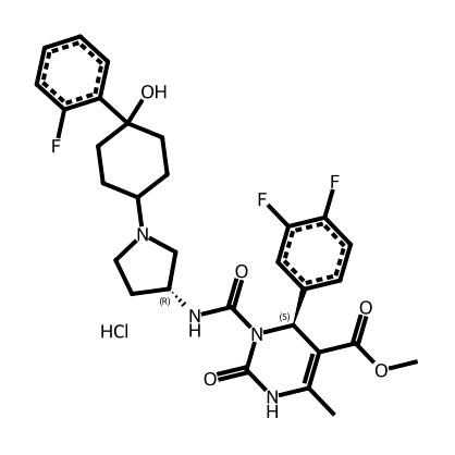 COC(=O)C1=C(C)NC(=O)N(C(=O)N[C@@H]2CCN(C3CCC(O)(c4ccccc4F)CC3)C2)[C@H]1c1ccc(F)c(F)c1.Cl